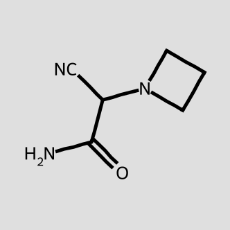 N#CC(C(N)=O)N1CCC1